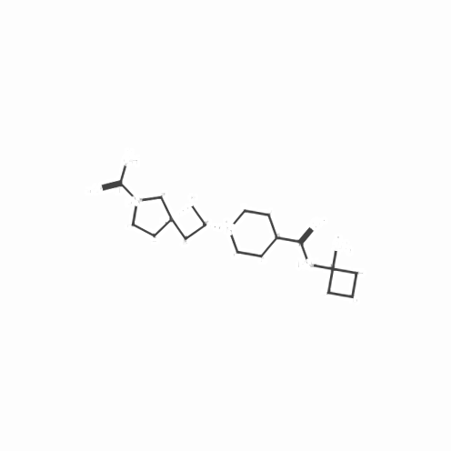 CC1(NC(=O)C2CCN([C@H]3C[C@@]4(CCN(C(=O)O)C4)C3)CC2)CCC1